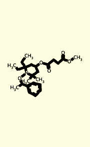 CCC1(CC)CC(OC(=O)CCC(=O)OC)CC(C)(C)N1OC(C)c1ccccc1